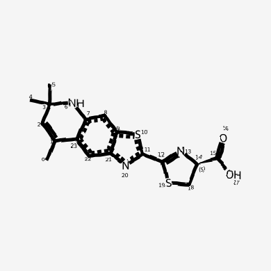 CC1=CC(C)(C)Nc2cc3sc(C4=N[C@@H](C(=O)O)CS4)nc3cc21